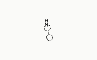 C1=CC(C2CCNCC2)CCC1